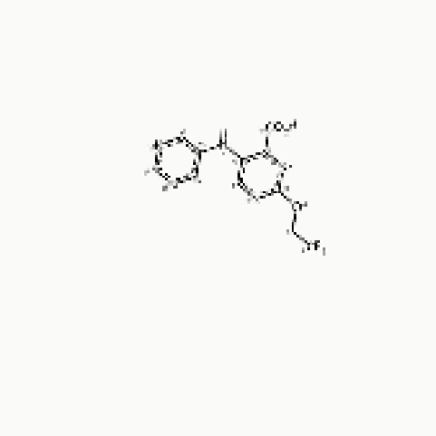 O=C(O)c1nc(OCC(F)(F)F)ncc1Nc1cncnc1